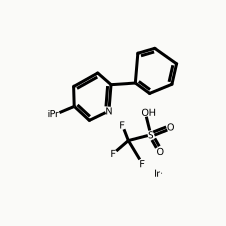 CC(C)c1ccc(-c2ccccc2)nc1.O=S(=O)(O)C(F)(F)F.[Ir]